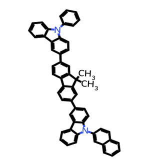 CC1(C)c2cc(-c3ccc4c(c3)c3ccccc3n4-c3ccccc3)ccc2-c2ccc(-c3ccc4c(c3)c3ccccc3n4-c3ccc4ccccc4c3)cc21